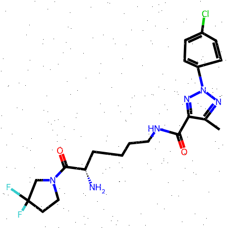 Cc1nn(-c2ccc(Cl)cc2)nc1C(=O)NCCCC[C@H](N)C(=O)N1CCC(F)(F)C1